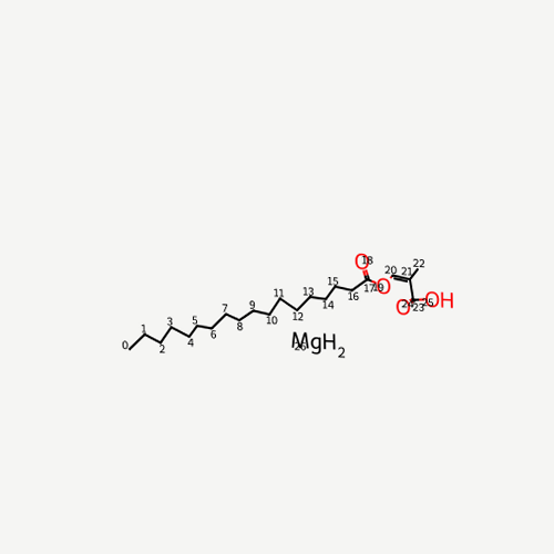 CCCCCCCCCCCCCCCCCC(=O)OC=C(C)C(=O)O.[MgH2]